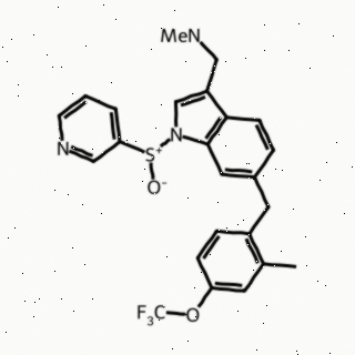 CNCc1cn([S+]([O-])c2cccnc2)c2cc(Cc3ccc(OC(F)(F)F)cc3C)ccc12